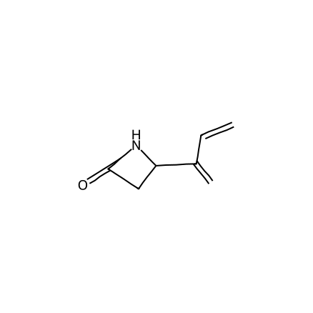 C=CC(=C)C1CC(=O)N1